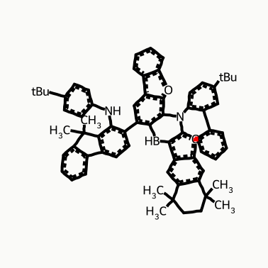 CC(C)(C)c1ccc(Nc2c(-c3cc4c(oc5ccccc54)c4c3Bc3c(oc5cc6c(cc35)C(C)(C)CCC6(C)C)N4c3ccc(C(C)(C)C)cc3-c3ccccc3)ccc3c2C(C)(C)c2ccccc2-3)cc1